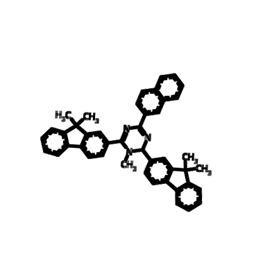 CN1C(c2ccc3c(c2)C(C)(C)c2ccccc2-3)=NC(c2ccc3ccccc3c2)=NC1c1ccc2c(c1)C(C)(C)c1ccccc1-2